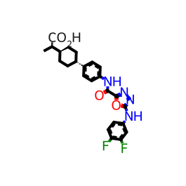 C[C@@H](C(=O)O)[C@H]1CC[C@H](c2ccc(NC(=O)c3nnc(Nc4ccc(F)c(F)c4)o3)cc2)CC1